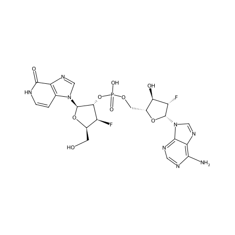 Nc1ncnc2c1ncn2[C@@H]1O[C@H](COP(=O)(O)O[C@@H]2[C@@H](F)[C@@H](CO)O[C@H]2n2cnc3c(=O)[nH]ccc32)[C@@H](O)[C@@H]1F